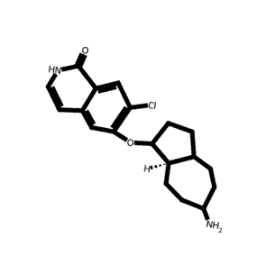 NC1CCC2CCC(Oc3cc4cc[nH]c(=O)c4cc3Cl)[C@@H]2CC1